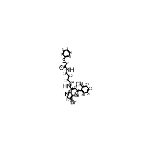 O=C(CSc1ccccc1)NCCCCNc1cc(-c2ccccc2Cl)nc2c(Br)cnn12